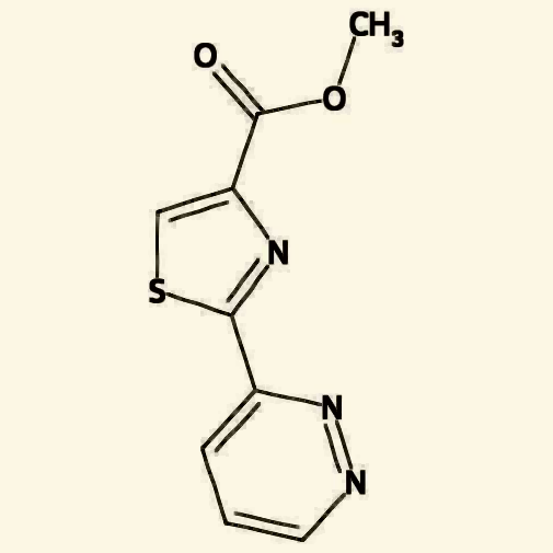 COC(=O)c1csc(-c2cccnn2)n1